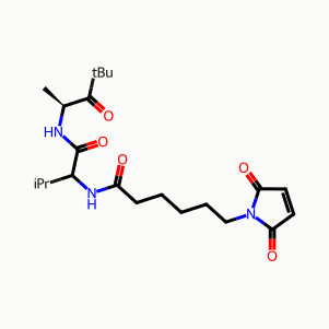 CC(C)C(NC(=O)CCCCCN1C(=O)C=CC1=O)C(=O)N[C@@H](C)C(=O)C(C)(C)C